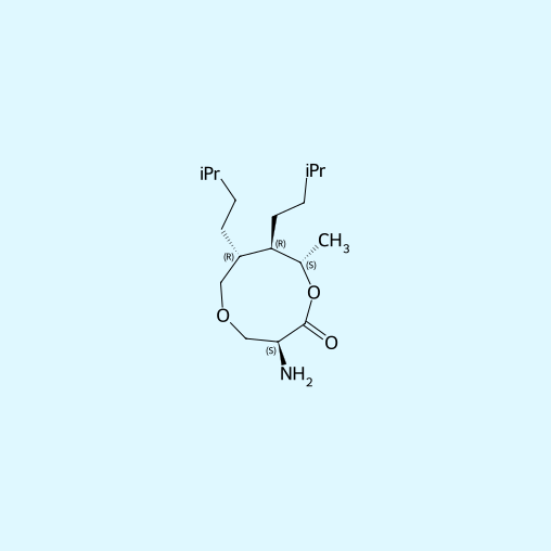 CC(C)CC[C@H]1COC[C@H](N)C(=O)O[C@@H](C)[C@@H]1CCC(C)C